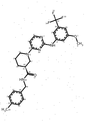 COc1cc(Nc2nccc(N3CCC[C@H](C(=O)NCc4ccc(C)cc4)C3)n2)cc(C(F)(F)F)c1